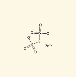 O=S(=O)([O-])SS(=O)(=O)[O-].[Zn+2]